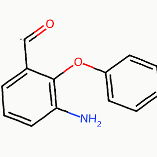 Nc1cccc([C]=O)c1Oc1ccccc1